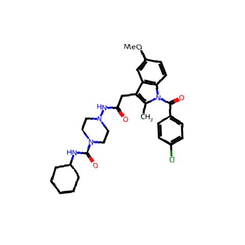 COc1ccc2c(c1)c(CC(=O)NN1CCN(C(=O)NC3CCCCC3)CC1)c(C)n2C(=O)c1ccc(Cl)cc1